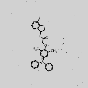 Cc1cc([SH](c2ccccc2)c2ccccc2)cc(C)c1OCC(=O)OC1CCc2c(I)cccc21